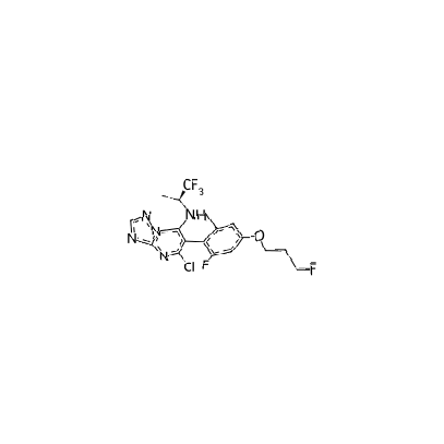 Cc1cc(OCCCF)cc(F)c1-c1c(Cl)nc2ncnn2c1N[C@@H](C)C(F)(F)F